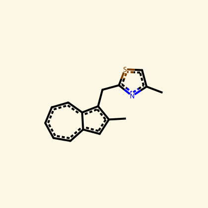 Cc1csc(Cc2c(C)cc3cccccc2-3)n1